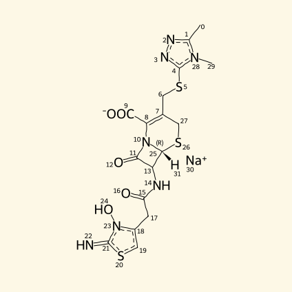 Cc1nnc(SCC2=C(C(=O)[O-])N3C(=O)C(NC(=O)Cc4csc(=N)n4O)[C@H]3SC2)n1C.[Na+]